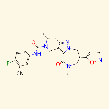 C[C@@H]1Cc2nn3c(c2CN1C(=O)Nc1ccc(F)c(C#N)c1)C(=O)N(C)C[C@H](c1ccno1)C3